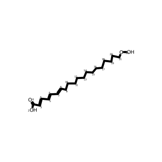 O=C(O)C=CC=CC=CCCCCCCCCCCCCCOO